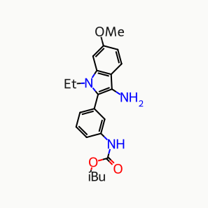 CCC(C)OC(=O)Nc1cccc(-c2c(N)c3ccc(OC)cc3n2CC)c1